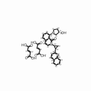 O=C(O)C=CC(=O)O.O=C(O)C=CC(=O)O.O=c1c2c(N3CC[C@H](O)C3)cccc2ccn1C1CC1c1ccc2ccccc2n1